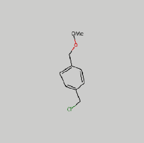 COOCc1ccc(CCl)cc1